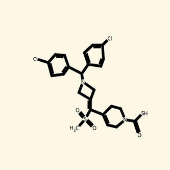 CS(=O)(=O)C(C1=CCN(C(=O)S)CC1)=C1CN(C(c2ccc(Cl)cc2)c2ccc(Cl)cc2)C1